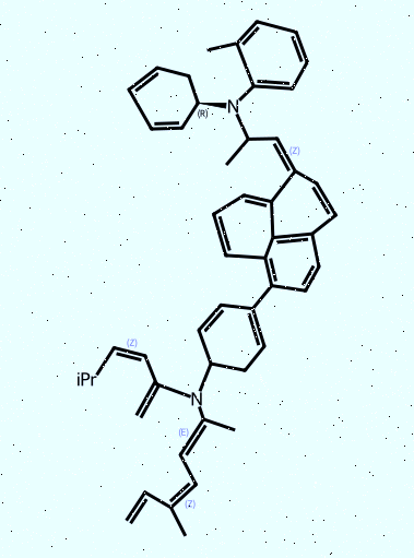 C=C/C(C)=C\C=C(/C)N(C(=C)/C=C\C(C)C)C1C=CC(c2ccc3cc/c(=C/C(C)N(c4ccccc4C)[C@H]4C=CC=CC4)c4cccc2c34)=CC1